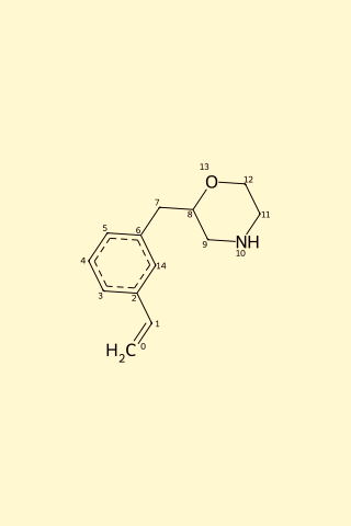 C=Cc1cccc(CC2CNCCO2)c1